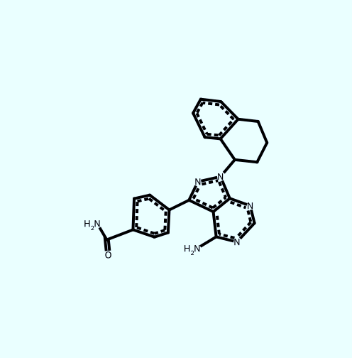 NC(=O)c1ccc(-c2nn(C3CCCc4ccccc43)c3ncnc(N)c23)cc1